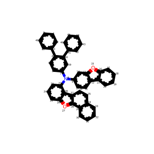 c1ccc(-c2ccc(N(c3ccc4c(c3)oc3ccccc34)c3cccc4oc5c6ccccc6ccc5c34)cc2-c2ccccc2)cc1